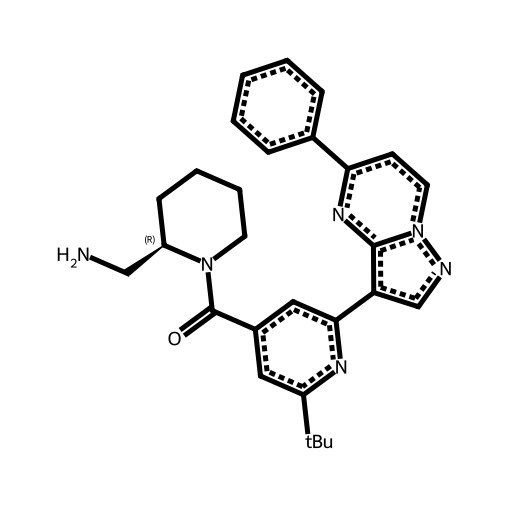 CC(C)(C)c1cc(C(=O)N2CCCC[C@@H]2CN)cc(-c2cnn3ccc(-c4ccccc4)nc23)n1